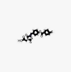 O=C(O)CN1C(=O)/C(=C/c2ccc(OC(=O)c3ccc(F)cc3)cc2)SC1=S